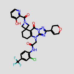 O=C(Cn1c2c(c(=O)n3nc(C4=CCOCC4)nc13)C1(CCC2)CN(C(=O)c2ncccc2O)C1)Nc1ccc(C(F)(F)F)cc1Cl